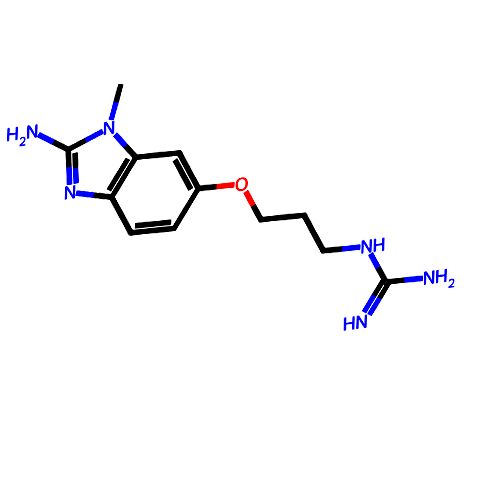 Cn1c(N)nc2ccc(OCCCNC(=N)N)cc21